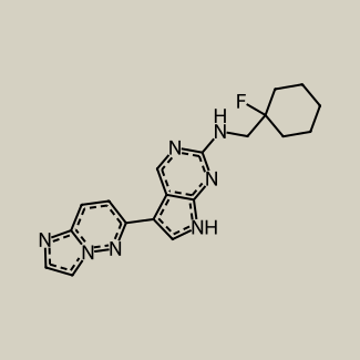 FC1(CNc2ncc3c(-c4ccc5nccn5n4)c[nH]c3n2)CCCCC1